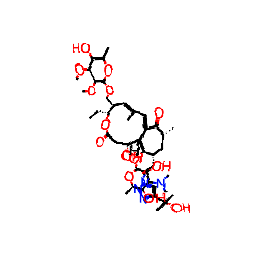 CC[C@H]1OC(=O)C[C@@H](O)[C@@H]2/C(=C\C(C)=C\[C@@H]1COC1OC(C)C(O)C(OC)C1OC)C(=O)[C@H](C)C[C@H](CCn1cc(C(C)(C)O)nn1)[C@@H]2O[C@@H]1O[C@H](C)C(O)C(N(C)C)C1O